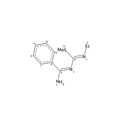 CC/N=C(/N=C(/N)c1ccccc1)SC